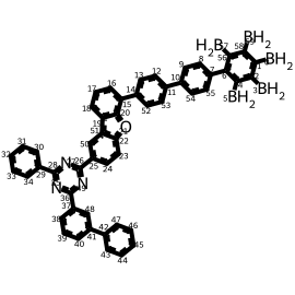 Bc1c(B)c(B)c(-c2ccc(-c3ccc(-c4cccc5c4oc4ccc(-c6nc(-c7ccccc7)nc(-c7cccc(-c8ccccc8)c7)n6)cc45)cc3)cc2)c(B)c1B